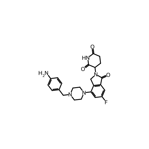 Nc1ccc(CN2CCN(c3cc(F)cc4c3CN(C3CCC(=O)NC3=O)C4=O)CC2)cc1